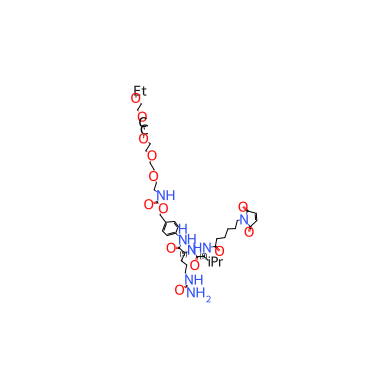 CCOCCOCCOCCOCCOCCNC(=O)OCc1ccc(NC(=O)[C@H](CCCNC(N)=O)NC(=O)[C@@H](NC(=O)CCCCCN2C(=O)C=CC2=O)C(C)C)cc1